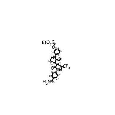 CCOC(=O)COc1cccc(N2CCO[C@H]([C@@H](OC(=O)C(F)(F)F)C(=O)Nc3ccc(CN)cc3)C2=O)c1